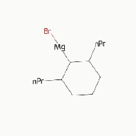 CCCC1CCCC(CCC)[CH]1[Mg][Br]